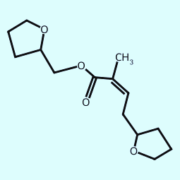 CC(=CCC1CCCO1)C(=O)OCC1CCCO1